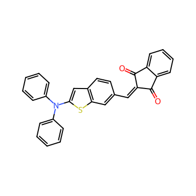 O=C1C(=Cc2ccc3cc(N(c4ccccc4)c4ccccc4)sc3c2)C(=O)c2ccccc21